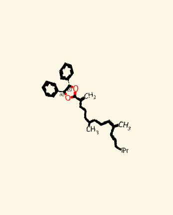 C=C(CCCC(C)CCCC(C)CCCC(C)C)C1O[C@@H](c2ccccc2)[C@H](c2ccccc2)O1